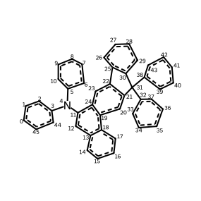 c1ccc(N(c2ccccc2)c2cc3ccccc3c3cc4c(cc23)-c2ccccc2C4(c2ccccc2)c2ccccc2)cc1